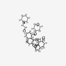 N#Cc1cnc2cc(OCCN3CCCCC3)cc(OC3CCOCC3)c2c1Nc1c(Cl)ccc2ccoc12